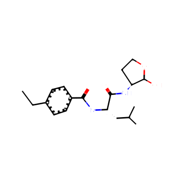 CCc1ccc(C(=O)N[C@@H](CC(C)C)C(=O)N[C@H]2CCOC2O)cc1